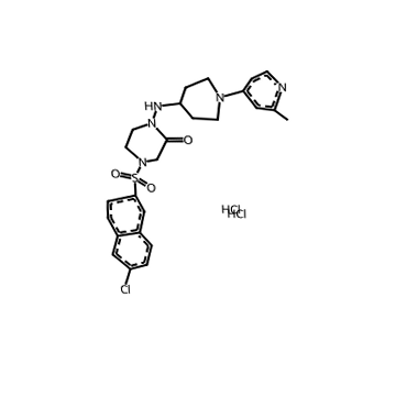 Cc1cc(N2CCC(NN3CCN(S(=O)(=O)c4ccc5cc(Cl)ccc5c4)CC3=O)CC2)ccn1.Cl.Cl